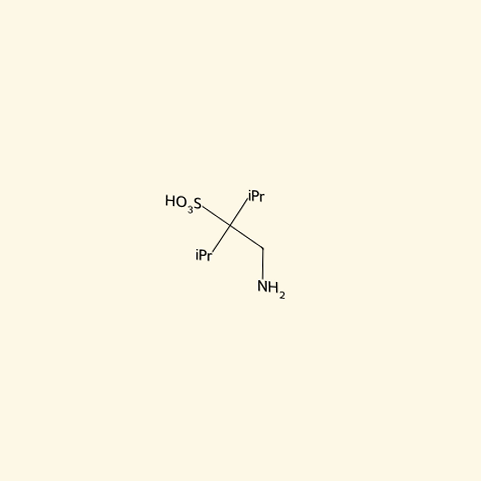 CC(C)C(CN)(C(C)C)S(=O)(=O)O